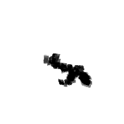 COc1ccc(S(=O)(=O)N(CCC(=O)N2CCC(CNC(=O)OC(C)(C)C)CC2)C(Cc2cccc3ccccc23)C(=O)NO)cc1